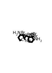 CCCC1(CC2(CCC)CCCC(N)C2(Br)CCC)CCCC(N)C1(Br)CCC